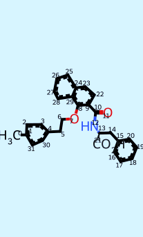 Cc1ccc(CCOc2c(C(=O)N[C@@H](Cc3ccccc3)C(=O)O)ccc3ccccc23)cc1